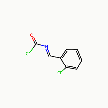 O=C(Cl)/N=C/c1ccccc1Cl